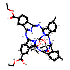 CCOC(=O)c1ccc2c(c1)C1=NC/2=N\c2c3cc(C)ccc3c3n2[Si](O[Si](C)(C)C)(O[Si](C)(C)C)n2/c(c4ccc(C(=O)OCC)cc4/c2=N/C2=NC(=N\3)/c3cc(C)ccc32)=N\1